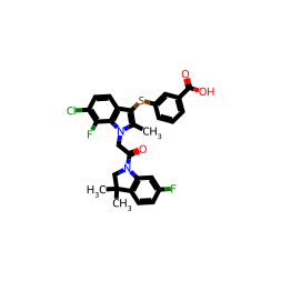 Cc1c(Sc2cccc(C(=O)O)c2)c2ccc(Cl)c(F)c2n1CC(=O)N1CC(C)(C)c2ccc(F)cc21